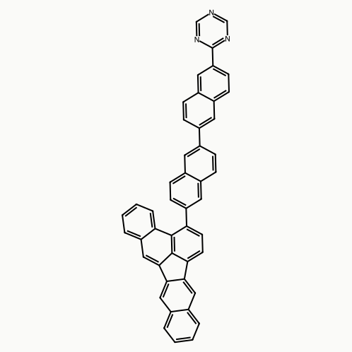 c1ccc2cc3c(cc2c1)-c1ccc(-c2ccc4cc(-c5ccc6cc(-c7ncncn7)ccc6c5)ccc4c2)c2c1c-3cc1ccccc12